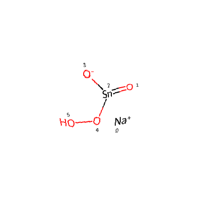 [Na+].[O]=[Sn]([O-])[O]O